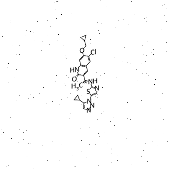 C[C@H](Nc1ncc(-n2nncc2C2CC2)s1)c1cc2cc(Cl)c(OCC3CC3)cc2[nH]c1=O